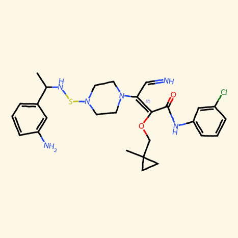 CC(NSN1CCN(/C(C=N)=C(\OCC2(C)CC2)C(=O)Nc2cccc(Cl)c2)CC1)c1cccc(N)c1